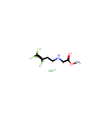 COC(=O)CNCCC(F)=C(F)F.Cl